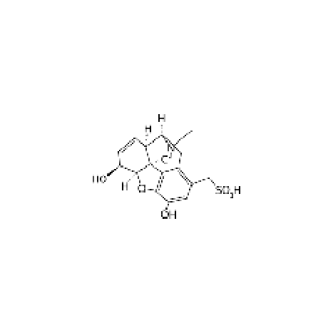 CN1CC[C@]23c4c5c(CS(=O)(=O)O)cc(O)c4O[C@H]2[C@@H](O)C=C[C@H]3[C@H]1C5